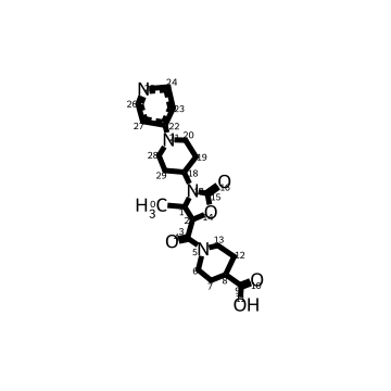 CC1C(C(=O)N2CCC(C(=O)O)CC2)OC(=O)N1C1CCN(c2ccncc2)CC1